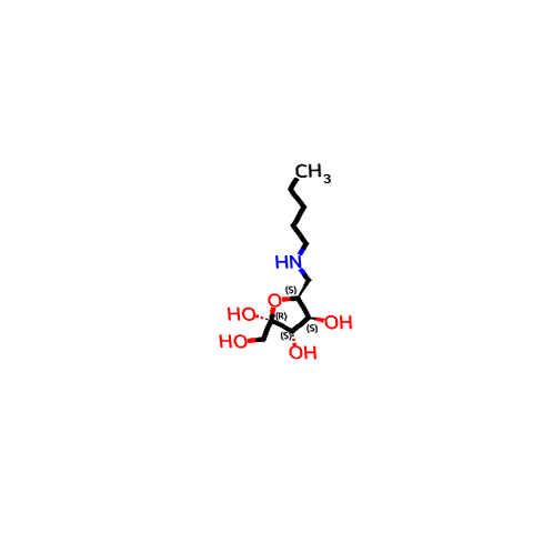 CCCCCNC[C@@H]1O[C@](O)(CO)[C@@H](O)[C@@H]1O